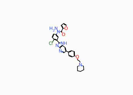 NN(C(=O)c1ccco1)c1ccc(Cl)c(-c2nc3ncc(-c4ccc(OCCN5CCCCC5)cc4)cc3[nH]2)c1